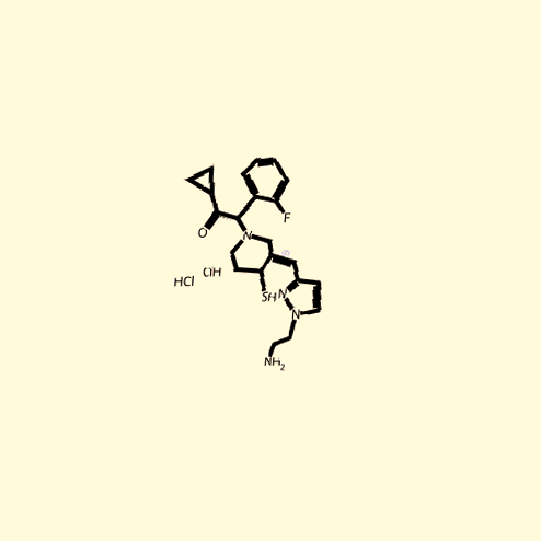 Cl.Cl.NCCn1ccc(/C=C2/CN(C(C(=O)C3CC3)c3ccccc3F)CCC2S)n1